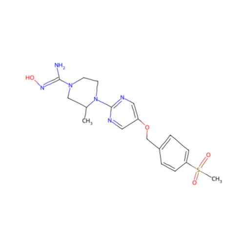 CC1CN(C(N)=NO)CCN1c1ncc(OCc2ccc(S(C)(=O)=O)cc2)cn1